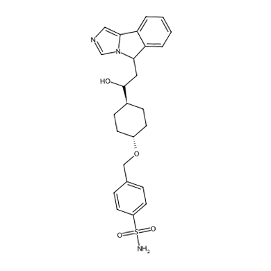 NS(=O)(=O)c1ccc(CO[C@H]2CC[C@H](C(O)CC3c4ccccc4-c4cncn43)CC2)cc1